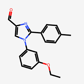 CCOc1cccc(-n2cc(C=O)nc2-c2ccc(C)cc2)c1